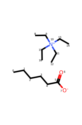 CCCCCC(=O)[O-].CC[N+](CC)(CC)CC